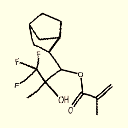 C=C(C)C(=O)OC(C1CC2CCC1C2)C(C)(O)C(F)(F)F